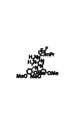 CCCC(CC(C)N(N)c1ncnc(N(Cc2ccc(OC)cc2OC)Cc2ccc(OC)cc2OC)c1N)C(F)F